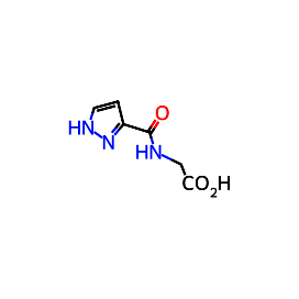 O=C(O)CNC(=O)c1cc[nH]n1